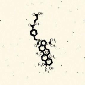 C=C(C)[C@@H]1CC[C@]2(C(=O)NCc3ccc(C(=O)NCCC(=O)O)cc3)CC[C@]3(C)C(CCC4[C@@]5(C)CC[C@H](O)C(C)(C)C5CC[C@]43C)C12